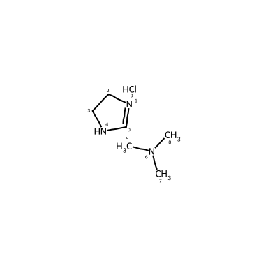 C1=NCCN1.CN(C)C.Cl